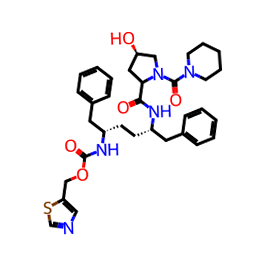 O=C(N[C@@H](CC[C@@H](Cc1ccccc1)NC(=O)C1C[C@@H](O)CN1C(=O)N1CCCCC1)Cc1ccccc1)OCc1cncs1